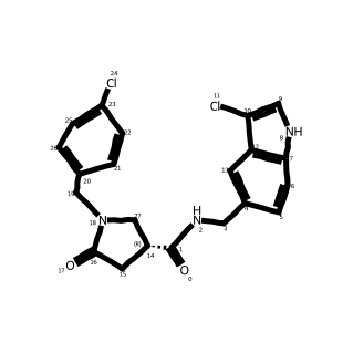 O=C(NCc1ccc2[nH]cc(Cl)c2c1)[C@@H]1CC(=O)N(Cc2ccc(Cl)cc2)C1